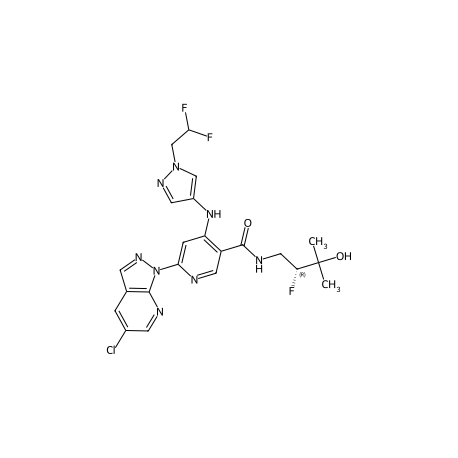 CC(C)(O)[C@H](F)CNC(=O)c1cnc(-n2ncc3cc(Cl)cnc32)cc1Nc1cnn(CC(F)F)c1